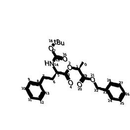 C[C@H](OC(=O)[C@@H](CCc1ccccc1)NC(=O)OC(C)(C)C)C(=O)OCc1ccccc1